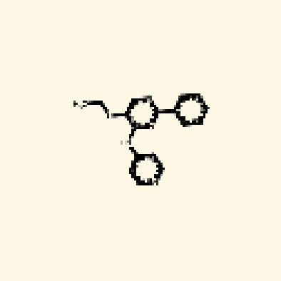 CCOc1cnc(-c2ccccc2)nc1Nc1ccncc1